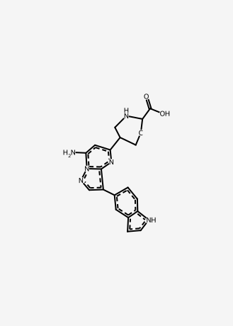 Nc1cc(C2CCC(C(=O)O)NC2)nc2c(-c3ccc4[nH]ccc4c3)cnn12